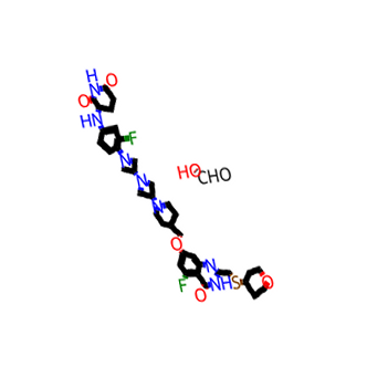 O=C1CCC(Nc2ccc(N3CC(N4CC(N5CCC(COc6cc(F)c7c(=O)[nH]c(CSC8CCOCC8)nc7c6)CC5)C4)C3)c(F)c2)C(=O)N1.O=CO